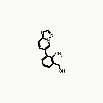 Cc1c(CO)cccc1-c1ccc2ncnn2c1